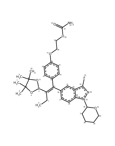 CC/C(B1OC(C)(C)C(C)(C)O1)=C(/c1ccc(OCCOC(N)=O)cc1)c1ccc2c(c1)c(F)nn2C1CCCCO1